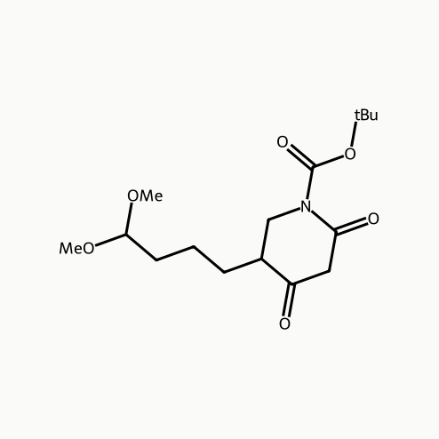 COC(CCCC1CN(C(=O)OC(C)(C)C)C(=O)CC1=O)OC